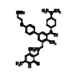 CCN(c1cc(-c2ccc(OCCOC)cc2)cc(CNCc2c(C)cc(C)[nH]c2=O)c1C)C1CCC(N(C)C)CC1